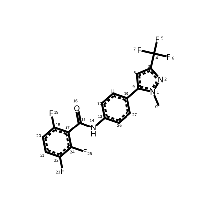 Cn1nc(C(F)(F)F)cc1-c1ccc(NC(=O)c2c(F)ccc(F)c2F)cc1